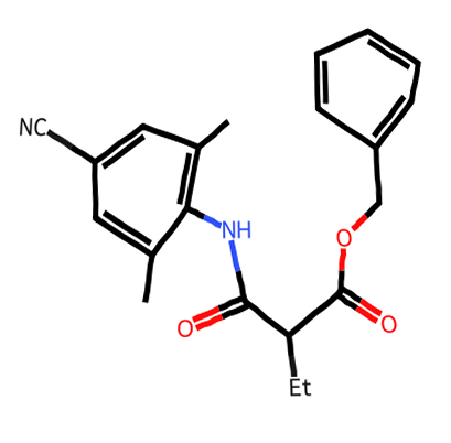 CCC(C(=O)Nc1c(C)cc(C#N)cc1C)C(=O)OCc1ccccc1